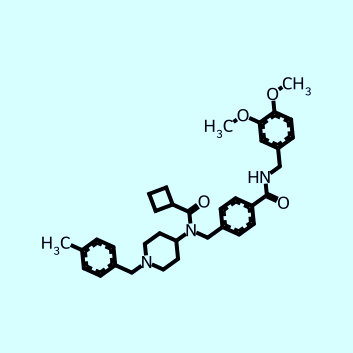 COc1ccc(CNC(=O)c2ccc(CN(C(=O)C3CCC3)C3CCN(Cc4ccc(C)cc4)CC3)cc2)cc1OC